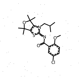 COc1ccc(Cl)cc1C(=O)N=c1sc2c(n1CC(C)C)C(C)(C)OC2(C)C